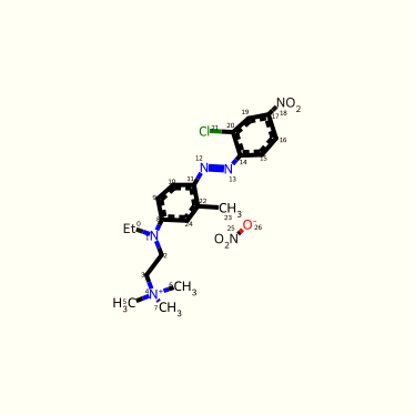 CCN(CC[N+](C)(C)C)c1ccc(N=Nc2ccc([N+](=O)[O-])cc2Cl)c(C)c1.O=[N+]([O-])[O-]